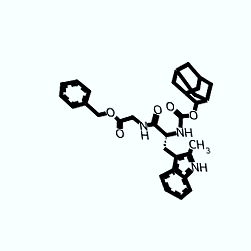 Cc1[nH]c2ccccc2c1C[C@@H](NC(=O)OC1C2CC3CC(C2)CC1C3)C(=O)NCC(=O)OCc1ccccc1